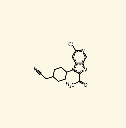 CC(=O)c1nc2cnc(Cl)cc2n1C1CCC(CC#N)CC1